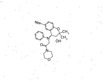 CC1(C)Oc2ccc(C#N)cc2[C@H](N(CC(=O)N2CCOCC2)c2ccccc2)[C@H]1O